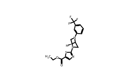 CCOC(=O)c1cnc(N2CC3[C@H]2CN3c2cccc(C(F)(F)F)c2)s1